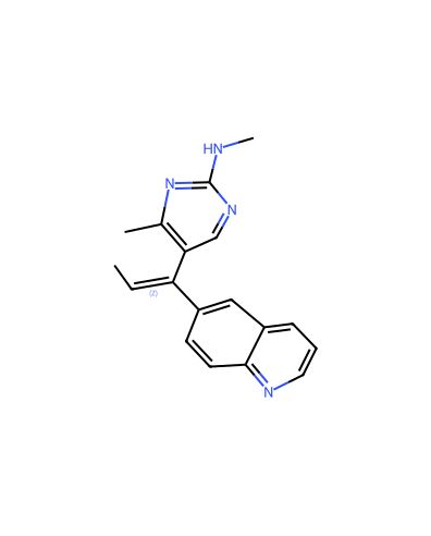 C/C=C(/c1ccc2ncccc2c1)c1cnc(NC)nc1C